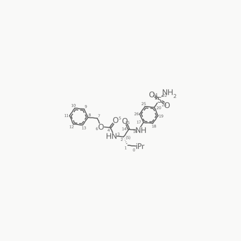 CC(C)C[C@H](NC(=O)OCc1ccccc1)C(=O)Nc1ccc(S(N)(=O)=O)cc1